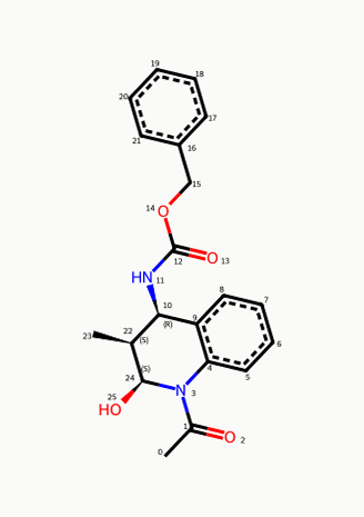 CC(=O)N1c2ccccc2[C@H](NC(=O)OCc2ccccc2)[C@H](C)[C@@H]1O